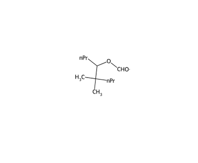 CCCC(O[C]=O)C(C)(C)CCC